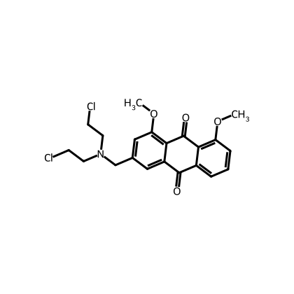 COc1cccc2c1C(=O)c1c(OC)cc(CN(CCCl)CCCl)cc1C2=O